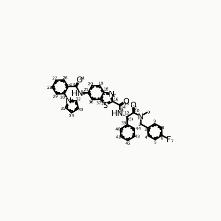 CN(Cc1ccc(F)cc1)C(=O)[C@@H](NC(=O)c1nc2ccc(NC(=O)c3ccccc3-n3cccc3)cc2s1)c1ccccc1